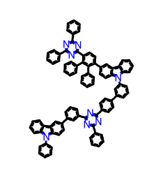 c1ccc(-c2nc(-c3ccc(-c4cccc(-n5c6ccccc6c6cc(-c7ccc(-c8nc(-c9ccccc9)nc(-c9ccccc9)n8)c(-c8ccccc8)c7-c7ccccc7)ccc65)c4)cc3)nc(-c3cccc(-c4ccc5c(c4)c4ccccc4n5-c4ccccc4)c3)n2)cc1